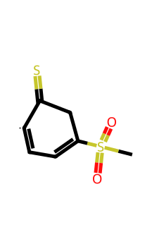 CS(=O)(=O)C1=CC=[C]C(=S)C1